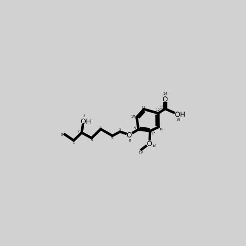 CCC(O)CCCCOc1ccc(C(=O)O)cc1OC